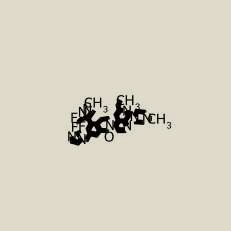 CCc1cc2c(N3CCc4c(cc(Cn5ccnc5)cc4-c4cn(C)nc4C(F)(F)F)C3=O)ccnc2c(N2CCN(C)CC2)n1